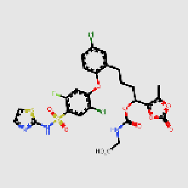 Cc1oc(=O)oc1C(CCCc1cc(Cl)ccc1Oc1cc(F)c(S(=O)(=O)Nc2nccs2)cc1Cl)OC(=O)NCC(=O)O